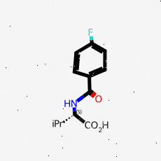 CC(C)[C@H](NC(=O)c1ccc(F)cc1)C(=O)O